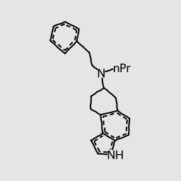 CCCN(CCc1ccccc1)C1CCc2c(ccc3[nH]ccc23)C1